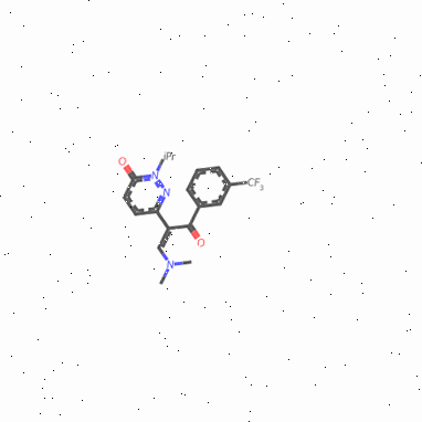 CC(C)n1nc(C(=CN(C)C)C(=O)c2cccc(C(F)(F)F)c2)ccc1=O